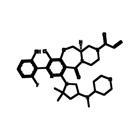 C=CC(=O)N1CCN2C(=O)c3c(N4CC(N(C)C5CCOCC5)CC4(C)C)nc(-c4c(O)cccc4F)c(Cl)c3OC[C@H]2C1